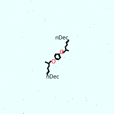 CCCCCCCCCCC=CCCC(C)COc1ccc(OCC(C)CCC=CCCCCCCCCCC)cc1